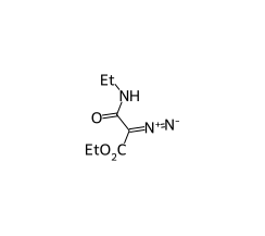 CCNC(=O)C(=[N+]=[N-])C(=O)OCC